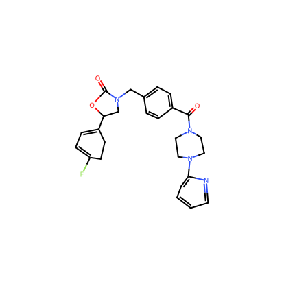 O=C1OC(C2=CC=C(F)CC2)CN1Cc1ccc(C(=O)N2CCN(c3ccccn3)CC2)cc1